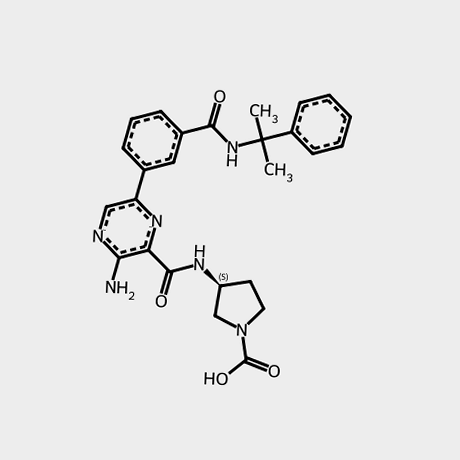 CC(C)(NC(=O)c1cccc(-c2cnc(N)c(C(=O)N[C@H]3CCN(C(=O)O)C3)n2)c1)c1ccccc1